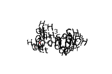 CCN(c1cc(-c2ccc(CCOCCOc3cc(C(C(=O)N4C[C@H](O)C[C@H]4C(=O)N[C@@H](C)c4ccc(-c5scnc5C)cc4)C(C)C)on3)cc2)cc(C(=O)NCc2c(C)cc(C)[nH]c2=O)c1C)C1CCOCC1